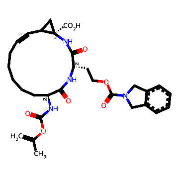 C=C(C)OC(=O)N[C@H]1CCCCC/C=C\C2C[C@@]2(C(=O)O)NC(=O)[C@H](CCOC(=O)N2Cc3ccccc3C2)NC1=O